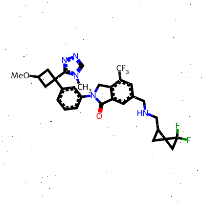 COC1CC(c2cccc(N3Cc4c(cc(CNCC5CC56CC6(F)F)cc4C(F)(F)F)C3=O)c2)(c2nncn2C)C1